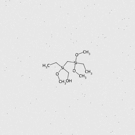 CC[Si](CO)(C[Si](CC)(OC)OC)OC